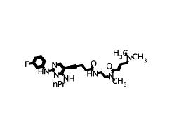 CCCNc1nc(Nc2cccc(F)c2)ncc1C#CCCC(=O)NCCN(C)C(=O)/C=C/CN(C)C